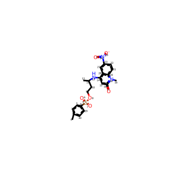 Cc1ccc(S(=O)(=O)OCCC(C)Nc2cc(=O)n(C)c3ccc([N+](=O)[O-])cc23)cc1